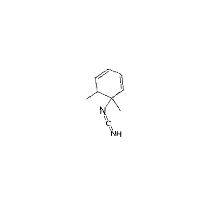 CC1C=CC=CC1(C)N=C=N